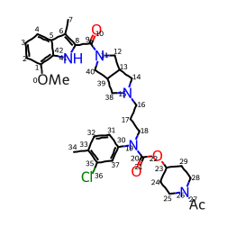 COc1cccc2c(C)c(C(=O)N3CC4CN(CCCN(C(=O)OC5CCN(C(C)=O)CC5)c5ccc(C)c(Cl)c5)CC4C3)[nH]c12